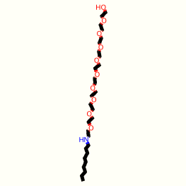 CCCCCCCCCNCCOCCOCCOCCOCCOCCOCCOCCOCCOCCO